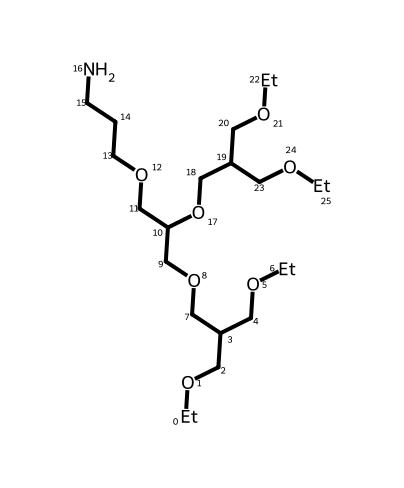 CCOCC(COCC)COCC(COCCCN)OCC(COCC)COCC